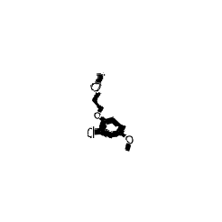 [CH2]OCCCOc1ccc(OC)cc1Cl